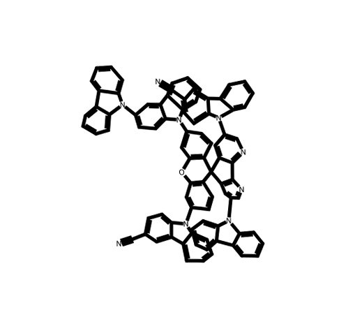 N#Cc1ccc2c(c1)c1ccccc1n2-c1ccc2c(c1)Oc1cc(-n3c4ccccc4c4cc(-n5c6ccccc6c6ccccc65)ccc43)ccc1C21c2cc(-n3c4ccccc4c4ccccc43)cnc2-c2ncc(-n3c4ccccc4c4cc(C#N)ccc43)cc21